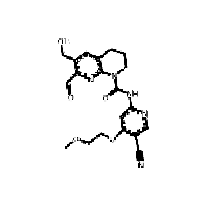 COCCOc1cc(NC(=O)N2CCCc3cc(CO)c(C=O)nc32)ncc1C#N